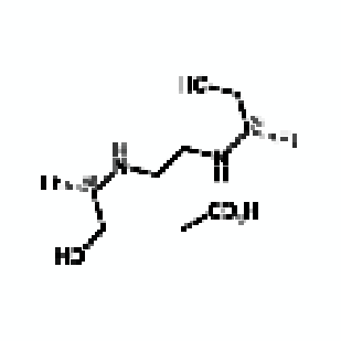 CC(=O)O.CC[C@@H](CO)NCCN[C@@H](CC)CO